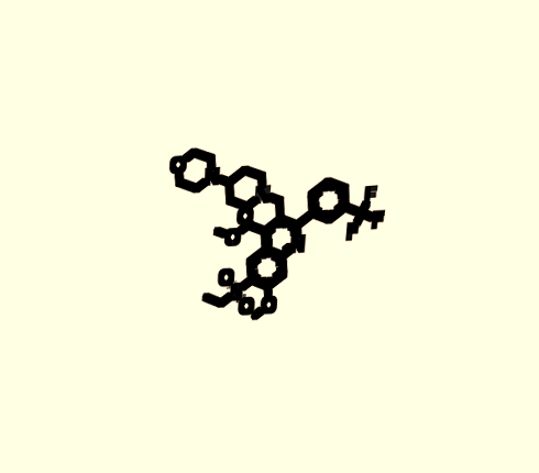 CCS(=O)(=O)c1cc2c(C(=O)OC)c(CN3CCC(N4CCOCC4)CC3)c(-c3cccc(C(F)(F)F)c3)nc2cc1OC